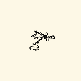 CCCCCCCCCCCCCOC(=O)CCSCCC(NC(=O)CCCCC(CCSCCC(=O)O)SCCC(=O)O)C(=O)NCCN1CCCCC1